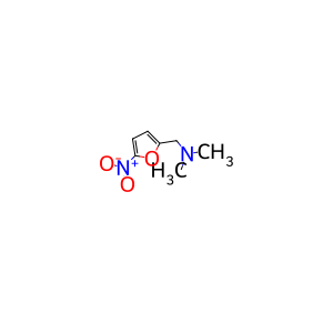 CN(C)Cc1ccc([N+](=O)[O-])o1